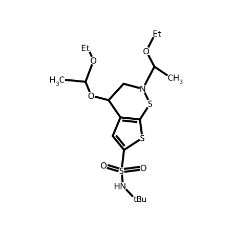 CCOC(C)OC1CN(C(C)OCC)Sc2sc(S(=O)(=O)NC(C)(C)C)cc21